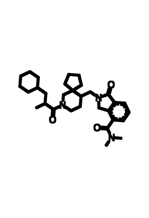 CC(CC1CCCCC1)C(=O)N1CCC(CN2Cc3c(C(=O)N(C)C)cccc3C2=O)C2(CCCC2)C1